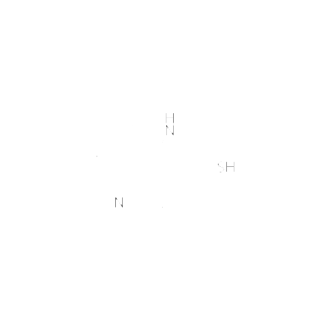 SC1C[N]CCN1